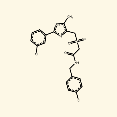 Cc1oc(-c2cccc(Cl)c2)nc1CS(=O)(=O)CC(=O)NCc1ccc(Cl)cc1